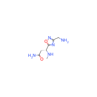 CN[C@H](CC(N)=O)c1nc(CN)no1